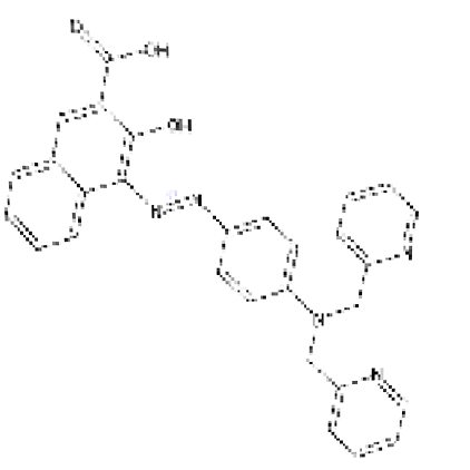 O=C(O)c1cc2ccccc2c(/N=N/c2ccc(N(Cc3ccccn3)Cc3ccccn3)cc2)c1O